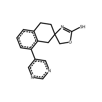 SC1=NC2(CCc3cccc(-c4cncnc4)c3C2)CO1